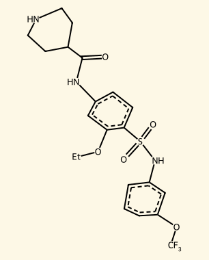 CCOc1cc(NC(=O)C2CCNCC2)ccc1S(=O)(=O)Nc1cccc(OC(F)(F)F)c1